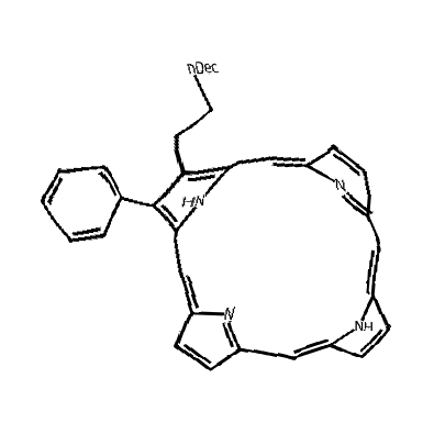 CCCCCCCCCCCCc1c(-c2ccccc2)c2cc3nc(cc4ccc(cc5nc(cc1[nH]2)C=C5)[nH]4)C=C3